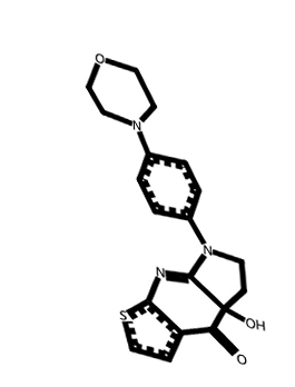 O=C1c2ccsc2N=C2N(c3ccc(N4CCOCC4)cc3)CCC12O